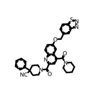 N#CC1(c2ccccc2)CCN(C(=O)c2cc(C(=O)N3CCCCC3)c3cc(OCc4ccc5snnc5c4)ccc3n2)CC1